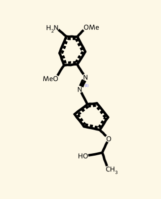 COc1cc(/N=N/c2ccc(OC(C)O)cc2)c(OC)cc1N